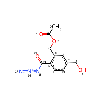 CC(=O)OCc1cc(CO)ccc1C(=O)N=[N+]=[N-]